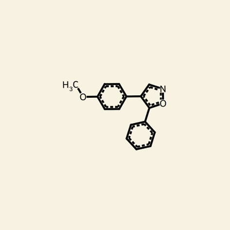 COc1ccc(-c2cnoc2-c2ccccc2)cc1